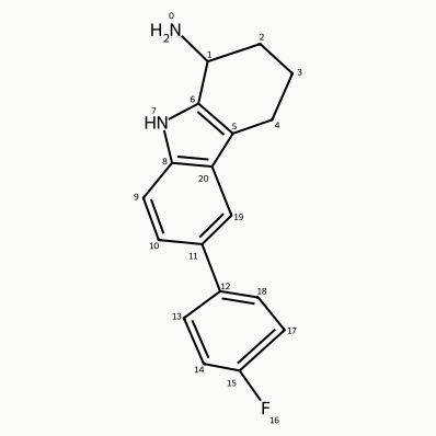 NC1CCCc2c1[nH]c1ccc(-c3ccc(F)cc3)cc21